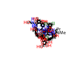 CN[C@H](CC(C)C)C(=O)N[C@H]1C(=O)N[C@@H](CC(N)=O)C(=O)N[C@H]2C(=O)NC3C(=O)N[C@H](C(=O)N[C@@H](C(=O)NNCCO)c4cc(O)cc(O)c4-c4cc3ccc4O)[C@H](O)c3ccc(c(Cl)c3)Oc3cc2cc(c3O[C@@H]2O[C@H](CO)[C@@H](O)[C@H](O)C2O[C@H]2C[C@](C)(NCc3cncc(NC(=O)c4cc(Cl)cc(Cl)c4)c3)[C@H](O)[C@H](C)O2)Oc2ccc(cc2Cl)[C@H]1O